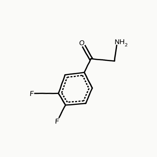 NCC(=O)c1ccc(F)c(F)c1